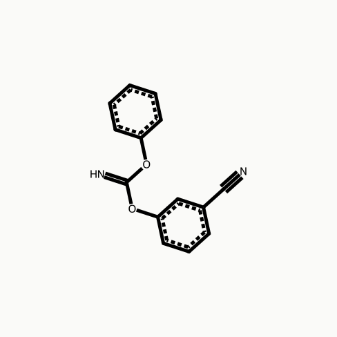 N#Cc1cccc(OC(=N)Oc2ccccc2)c1